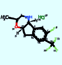 CC1CN[C@H]2c3cc(F)c(C(F)(F)F)cc3C[C@H]2O1.Cl